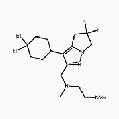 CCC1(CC)CCC(c2c(CN(C)CCNC)nn3c2CC(F)(F)C3)CC1